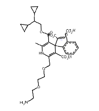 CCOC(=O)C1=C(COCCOCCN)NC(C)=C(C(=O)OCC(C2CC2)C2CC2)C1(/C(=C/C(=O)O)C(=O)O)c1ccccc1Cl